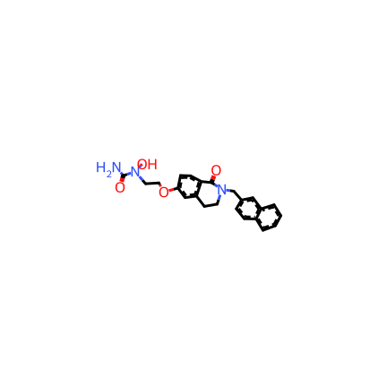 NC(=O)N(O)CCOc1ccc2c(c1)CCN(Cc1ccc3ccccc3c1)C2=O